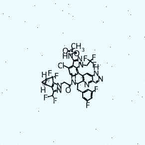 CS(=O)(=O)Nc1nn(CC(F)(F)F)c2c(-c3cc4[nH]ncc4nc3C(Cc3cc(F)cc(F)c3)NC(=O)Cn3nc(C(F)F)c4c3C(F)(F)[C@@H]3C[C@H]43)ccc(Cl)c12